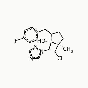 C[C@@]1(CCl)CCC(Cc2ccc(F)cc2)[C@]1(O)Cn1cncn1